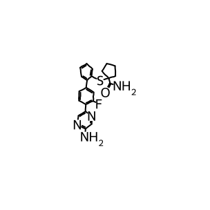 NC(=O)C1(Sc2ccccc2-c2ccc(-c3cnc(N)cn3)c(F)c2)CCCC1